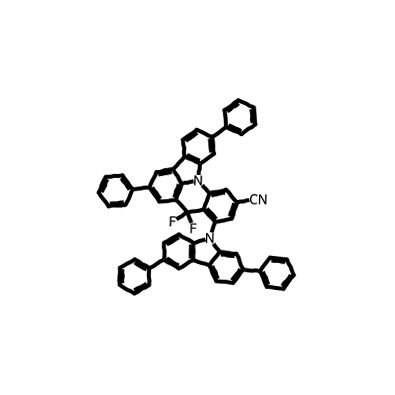 N#Cc1cc(-n2c3ccc(-c4ccccc4)cc3c3ccc(-c4ccccc4)cc32)c2c(c1)-n1c3cc(-c4ccccc4)ccc3c3cc(-c4ccccc4)cc(c31)C2(F)F